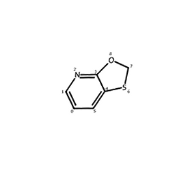 c1cnc2c(c1)SCO2